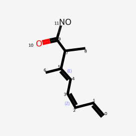 C=C/C=C\C=C(/C)C(C)C(=O)N=O